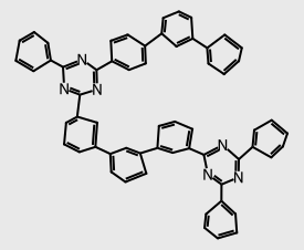 c1ccc(-c2cccc(-c3ccc(-c4nc(-c5ccccc5)nc(-c5cccc(-c6cccc(-c7cccc(-c8nc(-c9ccccc9)nc(-c9ccccc9)n8)c7)c6)c5)n4)cc3)c2)cc1